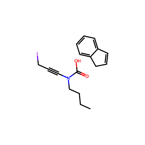 C1=Cc2ccccc2C1.CCCCN(C#CCI)C(=O)O